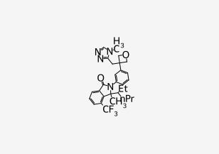 CCCC(CC)C1(C)c2c(cccc2C(F)(F)F)C(=O)N1c1cccc(C2(Cc3nncn3C)COC2)c1